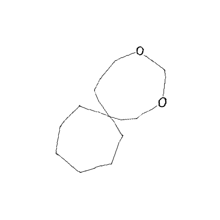 C1CCCC2(CC1)CCOCOC2